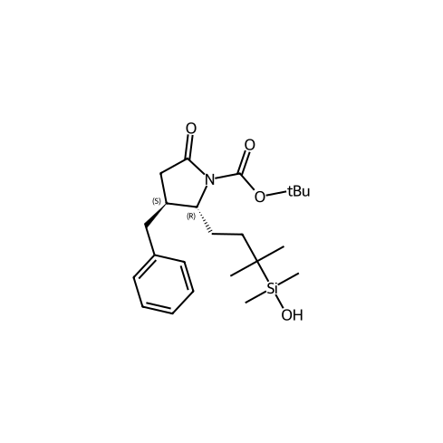 CC(C)(C)OC(=O)N1C(=O)C[C@H](Cc2ccccc2)[C@H]1CCC(C)(C)[Si](C)(C)O